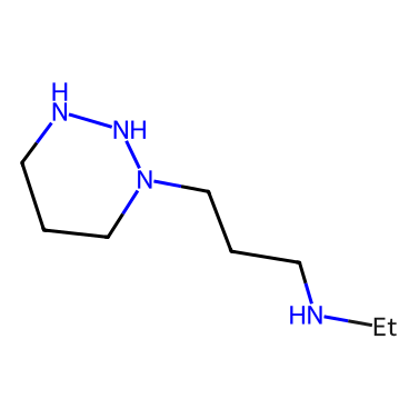 CCNCCCN1CCCNN1